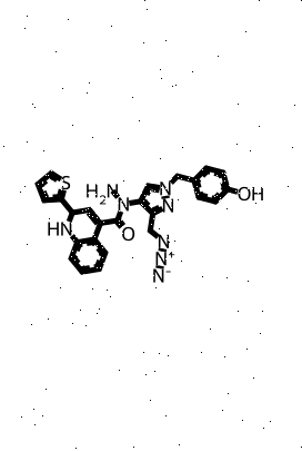 [N-]=[N+]=NCc1nn(Cc2ccc(O)cc2)cc1N(N)C(=O)C1=CC(c2cccs2)Nc2ccccc21